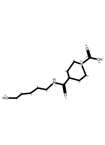 O=C(NCCCCCO)C1CCN(C(=O)O)CC1